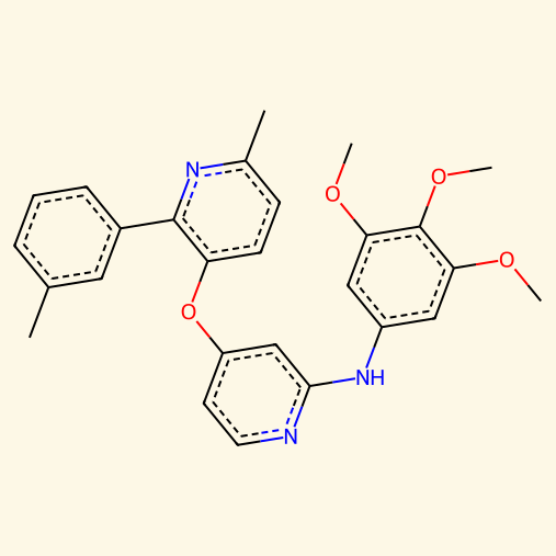 COc1cc(Nc2cc(Oc3ccc(C)nc3-c3cccc(C)c3)ccn2)cc(OC)c1OC